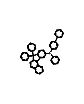 c1ccc(-c2ccc(N(c3ccccc3)c3ccc4c(c3)-c3c(ccc5ccccc35)C4(c3ccccc3)c3ccccc3)cc2)cc1